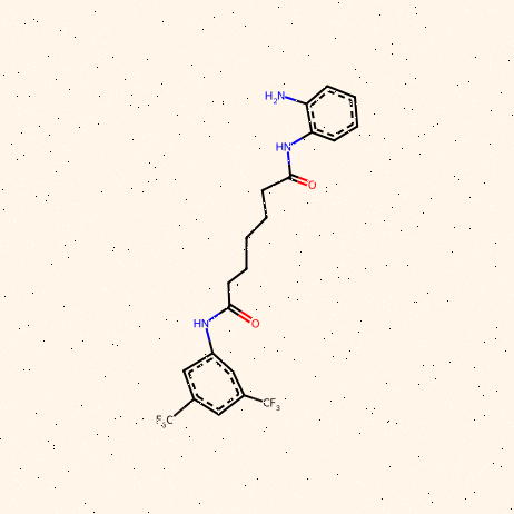 Nc1ccccc1NC(=O)CCCCCC(=O)Nc1cc(C(F)(F)F)cc(C(F)(F)F)c1